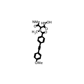 CNC(=O)C(C(=O)NO)N(C)C(=O)c1ccc(C#Cc2ccc(OC)cc2)cc1